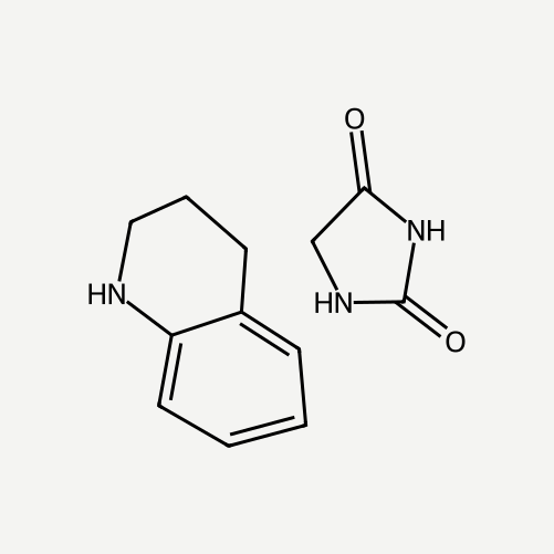 O=C1CNC(=O)N1.c1ccc2c(c1)CCCN2